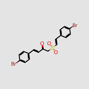 O=C(C=Cc1ccc(Br)cc1)CS(=O)(=O)C=Cc1ccc(Br)cc1